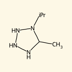 CC(C)N1NNNC1C